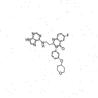 O=c1c2cc(F)ccc2nc(CCNc2ncnc3[nH]cnc23)n1-c1cccc(OC2CCOCC2)c1